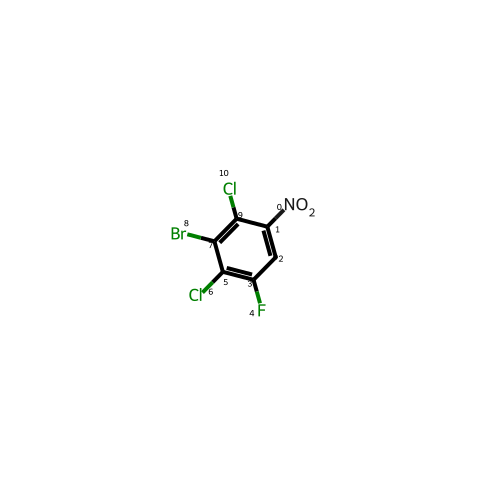 O=[N+]([O-])c1cc(F)c(Cl)c(Br)c1Cl